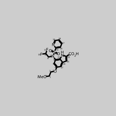 COCCOc1cc(N(CC(F)F)S(=O)(=O)c2ccccn2)c2[nH]c(C(=O)O)cc2c1